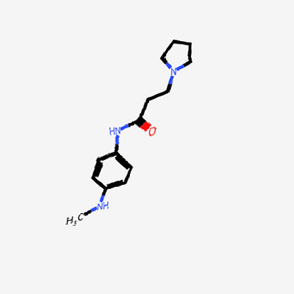 CNc1ccc(NC(=O)CCN2CCCC2)cc1